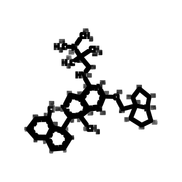 Cc1c(-c2cccc3cccc(Cl)c23)ncc2c(NCC(C)(C)N(C)C)nc(OCC34CCCN3CCC4)nc12